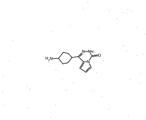 NC1CCC(c2n[nH]c(=O)n3cccc23)CC1